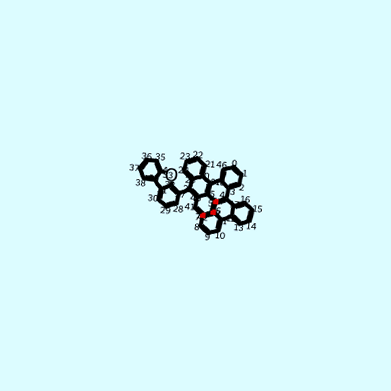 c1ccc(-c2cc3ccccc3c3ccccc23)c(-c2c3ccccc3c(-c3cccc4c3oc3ccccc34)c3ccccc23)c1